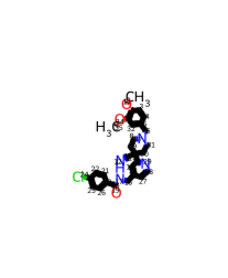 COc1ccc(CN2CCC(C#N)(c3cc(CNC(=O)c4ccc(Cl)cc4)ccn3)CC2)cc1OC